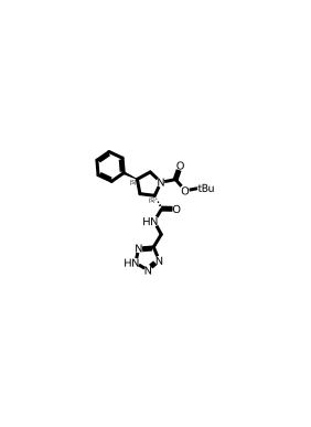 CC(C)(C)OC(=O)N1C[C@H](c2ccccc2)C[C@H]1C(=O)NCc1nn[nH]n1